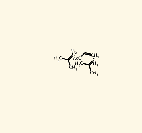 C=C(C)C.C=C(C)C.C=COC(C)=O